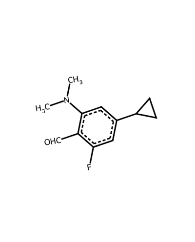 CN(C)c1cc(C2CC2)cc(F)c1C=O